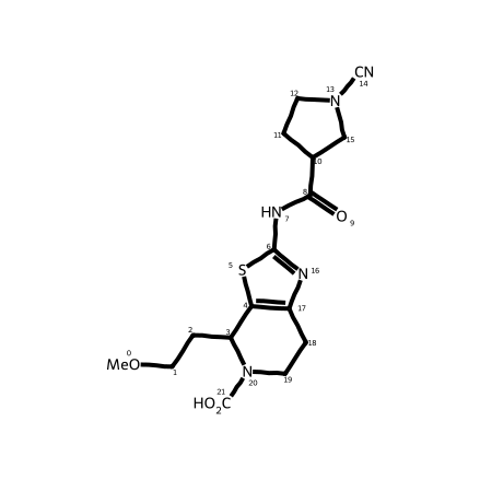 COCCC1c2sc(NC(=O)C3CCN(C#N)C3)nc2CCN1C(=O)O